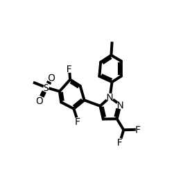 Cc1ccc(-n2nc(C(F)F)cc2-c2cc(F)c(S(C)(=O)=O)cc2F)cc1